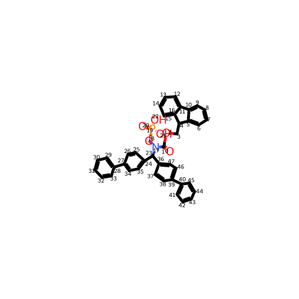 O=C(OCC1c2ccccc2-c2ccccc21)N(OP(=O)(O)O)C(c1ccc(-c2ccccc2)cc1)c1ccc(-c2ccccc2)cc1